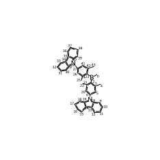 CB(c1c(C)cc(-n2c3ccccc3c3ccccc32)cc1C)c1c(C)cc(-n2c3ccccc3c3ccccc32)cc1C